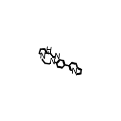 c1cc2ccc(-c3ccc4c(c3)nc3n4CCCN4CCC[C@@H]4C3)cn2c1